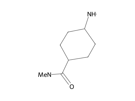 CNC(=O)C1CCC([NH])CC1